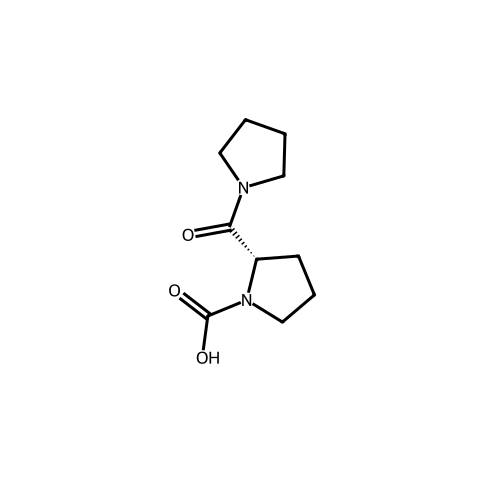 O=C([C@@H]1CCCN1C(=O)O)N1CCCC1